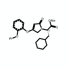 COC(=O)[C@H](CC1CCCCC1)N1CC(Oc2ccccc2OC(C)C)=CC1=O